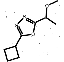 COC(C)c1nnc(C2CCC2)o1